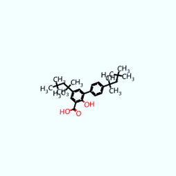 CC(C)(C)CC(C)(C)c1ccc(-c2cc(C(C)(C)CC(C)(C)C)cc(C(=O)O)c2O)cc1